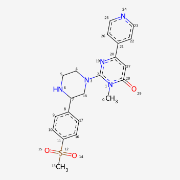 Cn1c(N2CCNC(c3ccc(S(C)(=O)=O)cc3)C2)nc(-c2ccncc2)cc1=O